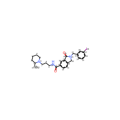 CCCCC1CCCCN1CCCNC(=O)c1ccc2c(c1)C(=O)N(Cc1cccc(I)c1)C2